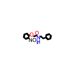 O=C(COc1ccccc1[N+](=O)[O-])N[CH]Cc1ccccc1